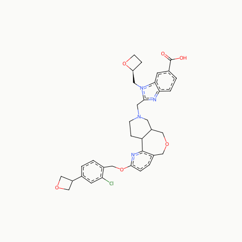 O=C(O)c1ccc2nc(CN3CCC4c5nc(OCc6ccc(C7COC7)cc6Cl)ccc5COCC4C3)n(C[C@@H]3CCO3)c2c1